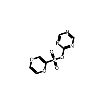 O=S(=O)(Oc1ncncn1)C1=COC=CO1